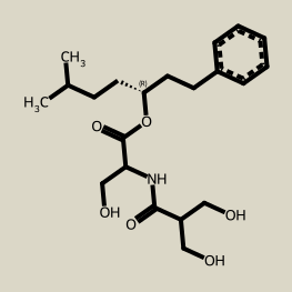 CC(C)CC[C@H](CCc1ccccc1)OC(=O)C(CO)NC(=O)C(CO)CO